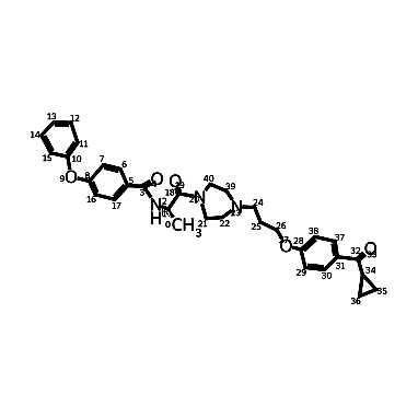 C[C@@H](NC(=O)c1ccc(Oc2ccccc2)cc1)C(=O)N1CCN(CCCOc2ccc(C(=O)C3CC3)cc2)CC1